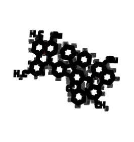 Cc1ccc(-c2cc(C)cnc2N(c2ccc(C(C)(C)C)cc2)c2ccc3c(c2)C(c2ccccc2)(c2ccccc2)c2cc(N(c4ccc(C(C)(C)C)cc4)c4ncc(C)cc4-c4ccccc4)c4c(oc5ccccc54)c2-3)cc1